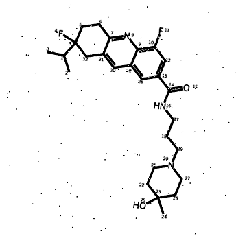 CC(C)C1(F)CCc2nc3c(F)cc(C(=O)NCCCN4CCC(C)(O)CC4)cc3cc2C1